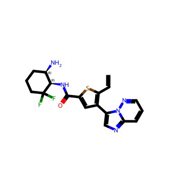 C=Cc1sc(C(=O)N[C@@H]2[C@H](N)CCCC2(F)F)cc1-c1cnc2cccnn12